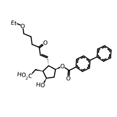 CCOCCCC(=O)C=C[C@H]1[C@H](CC(=O)O)[C@H](O)C[C@@H]1OC(=O)c1ccc(-c2ccccc2)cc1